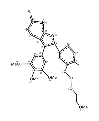 COCCOCOc1cc(-c2oc3[nH]c(=O)ncc3c2-c2cc(OC)c(OC)c(OC)c2)ccc1C